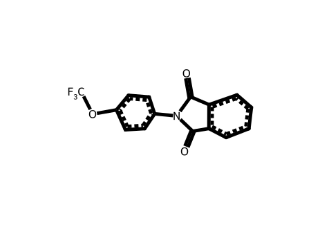 O=C1c2ccccc2C(=O)N1c1ccc(OC(F)(F)F)cc1